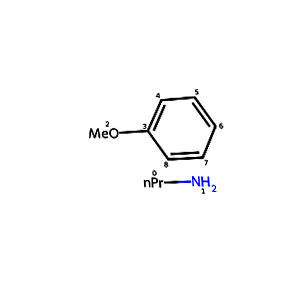 CCCN.COc1ccccc1